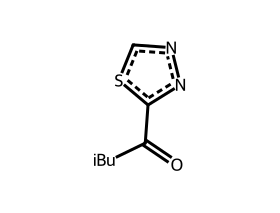 CCC(C)C(=O)c1nncs1